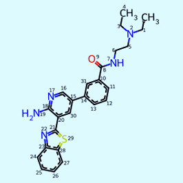 CCN(CC)CCNC(=O)c1cccc(-c2cnc(N)c(-c3nc4ccccc4s3)c2)c1